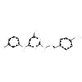 N#Cc1ccc(/C=N/Nc2nc(Cl)cc(Nc3cccc(Cl)c3)n2)cc1